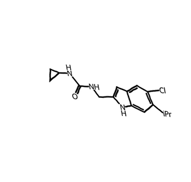 CC(C)c1cc2[nH]c(CNC(=O)NC3CC3)cc2cc1Cl